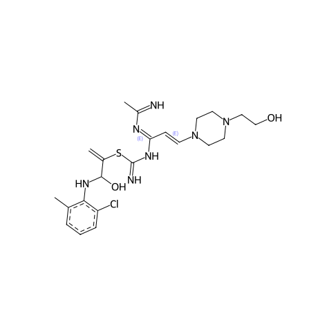 C=C(SC(=N)NC(/C=C/N1CCN(CCO)CC1)=N/C(C)=N)C(O)Nc1c(C)cccc1Cl